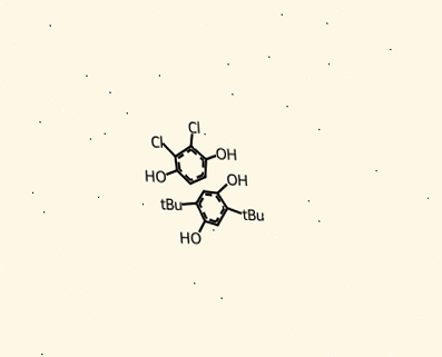 CC(C)(C)c1cc(O)c(C(C)(C)C)cc1O.Oc1ccc(O)c(Cl)c1Cl